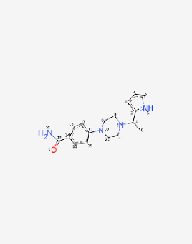 CC(c1ccc[nH]1)N1CCN(c2ccc(C(N)=O)cc2)CC1